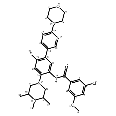 COc1cc(Cl)cc(C(=O)Nc2cc(-c3cnc(N4CCOCC4)nc3)c(F)cc2N2CC(C)N(C)C(C)C2)c1